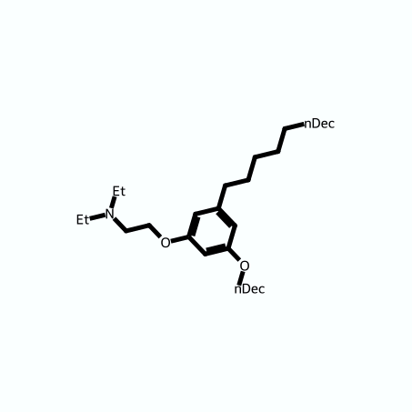 CCCCCCCCCCCCCCCc1cc(OCCCCCCCCCC)cc(OCCN(CC)CC)c1